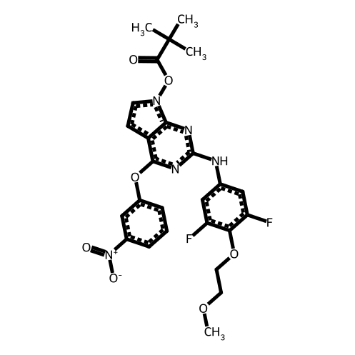 COCCOc1c(F)cc(Nc2nc(Oc3cccc([N+](=O)[O-])c3)c3ccn(OC(=O)C(C)(C)C)c3n2)cc1F